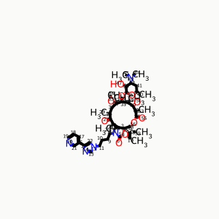 CC=C[C@]12OC(=O)N(CCCCn3cnc(-c4cccnc4)c3)[C@@H]1[C@@H](C)C(=O)[C@H](C)C[C@](C)(OC)[C@H](OC1O[C@H](C)C[C@H](N(C)C)[C@H]1O)[C@@H](C)C(=O)[C@@H](C)C(=O)O[C@@H]2CC